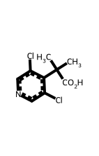 CC(C)(C(=O)O)c1c(Cl)cncc1Cl